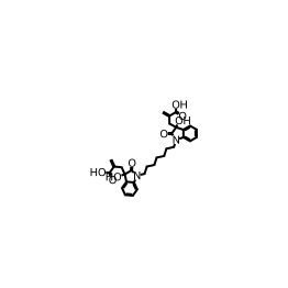 C=C(CC1(O)C(=O)N(CCCCCCCN2C(=O)C(O)(CC(=C)C(=O)O)c3ccccc32)c2ccccc21)C(=O)O